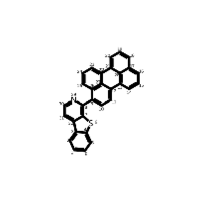 c1ccc2c(c1)sc1c(-c3ccc4c5cccc6cccc(c7cccc3c74)c65)nccc12